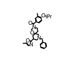 Cc1cnc(C2CN(Cc3ccccc3)CC3(CCN(C(=O)c4ccc(OC(C)C)c(C)c4)CO3)C2)o1